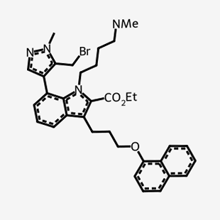 CCOC(=O)c1c(CCCOc2cccc3ccccc23)c2cccc(-c3cnn(C)c3CBr)c2n1CCCCNC